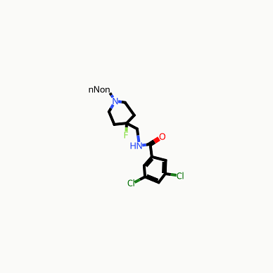 CCCCCCCCCN1CCC(F)(CNC(=O)c2cc(Cl)cc(Cl)c2)CC1